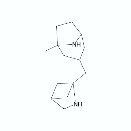 CC12CCC(CC(CC34CC(CN3)C4)C1)N2